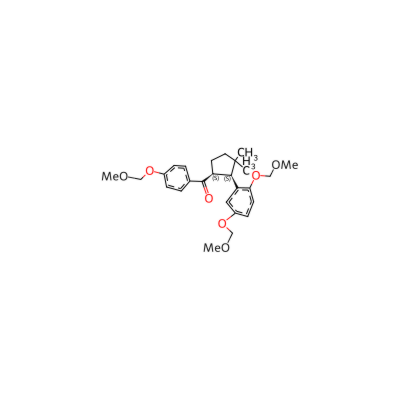 COCOc1ccc(C(=O)[C@H]2CCC(C)(C)[C@H]2c2cc(OCOC)ccc2OCOC)cc1